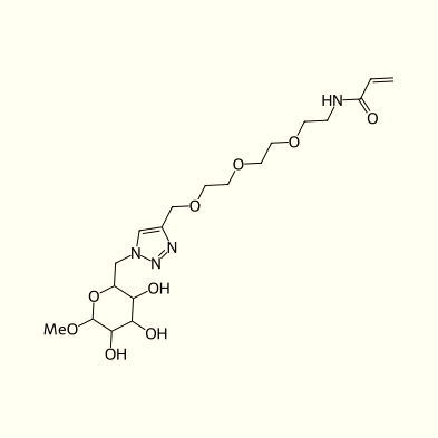 C=CC(=O)NCCOCCOCCOCc1cn(CC2OC(OC)C(O)C(O)C2O)nn1